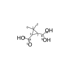 CC1(C)C(C(=O)O)C1C(O)O